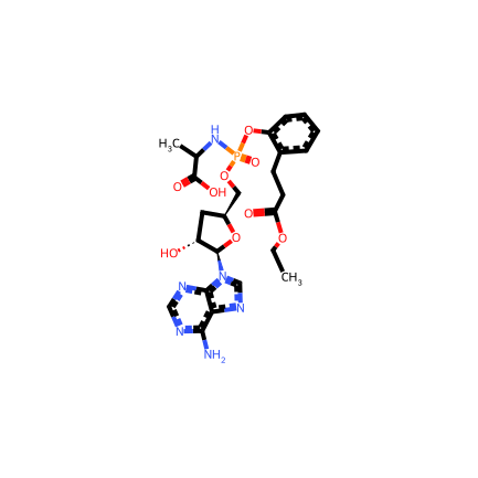 CCOC(=O)CCc1ccccc1OP(=O)(NC(C)C(=O)O)OC[C@@H]1C[C@@H](O)[C@H](n2cnc3c(N)ncnc32)O1